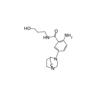 Nc1ccc(N2CCN3CCC2CC3)cc1C(=O)NCCCO